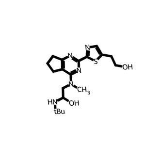 CN(CC(O)NC(C)(C)C)c1nc(-c2ncc(CCO)s2)nc2c1CCC2